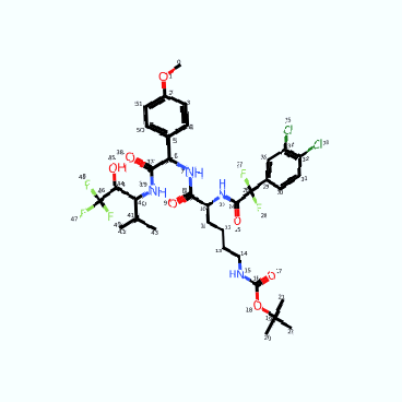 COc1ccc(C(NC(=O)C(CCCCNC(=O)OC(C)(C)C)NC(=O)C(F)(F)c2ccc(Cl)c(Cl)c2)C(=O)NC(C(C)C)C(O)C(F)(F)F)cc1